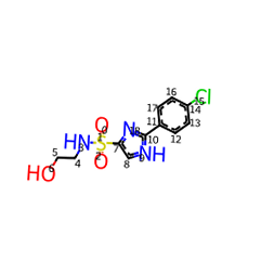 O=S(=O)(NCCO)c1c[nH]c(-c2ccc(Cl)cc2)n1